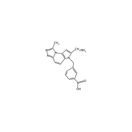 Cc1cc2c(ccc3nnc(C)n32)n1Cc1cccc(C(=O)O)c1.N